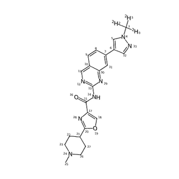 [2H]C([2H])([2H])n1cc(-c2ccc3cnc(NC(=O)c4coc(C5CCN(C)CC5)n4)nc3c2)cn1